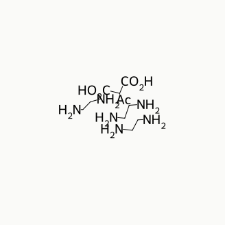 CC(=O)C(C(=O)O)C(=O)O.NCCN.NCCN.NCCN